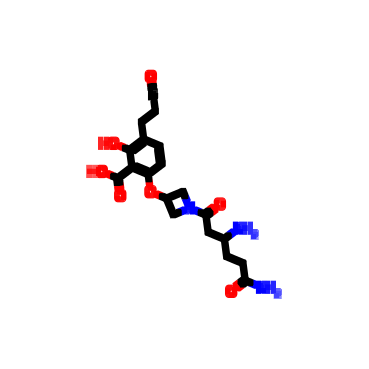 NC(=O)CCC(N)CC(=O)N1CC(Oc2ccc(CCB=O)c(O)c2C(=O)O)C1